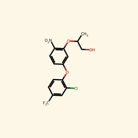 CC(CO)Oc1cc(Oc2ccc(C(F)(F)F)cc2Cl)ccc1[N+](=O)[O-]